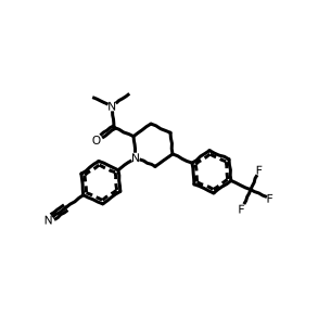 CN(C)C(=O)C1CCC(c2ccc(C(F)(F)F)cc2)CN1c1ccc(C#N)cc1